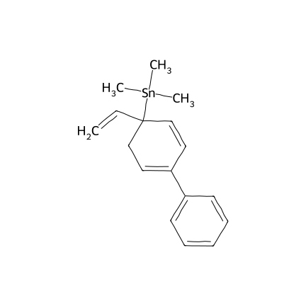 C=C[C]1([Sn]([CH3])([CH3])[CH3])C=CC(c2ccccc2)=CC1